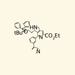 C=C(/C=N\C)c1cccc(-c2nc(C(=O)OCC)cc3c2[C@@H](CCO[Si](c2ccccc2)(c2ccccc2)C(C)(C)C)NC3)c1